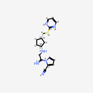 N#Cc1cccn1C(=N)CN[C@@H]1CC[C@H](CSc2ncccn2)C1